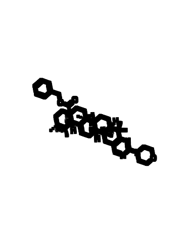 C[C@H]1[C@H](C)CC[C@]2(C(=O)OCc3ccccc3)CC[C@]3(C)C(=CC[C@@H]4[C@@]5(C)Cc6cnc(N7CCOCC7)nc6C(C)(C)[C@@H]5CC[C@]43C)[C@H]12